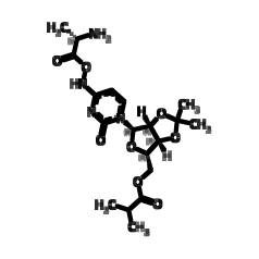 CC(C)C(=O)OC[C@H]1O[C@@H](n2ccc(NOC(=O)[C@H](C)N)nc2=O)[C@@H]2OC(C)(C)O[C@@H]21